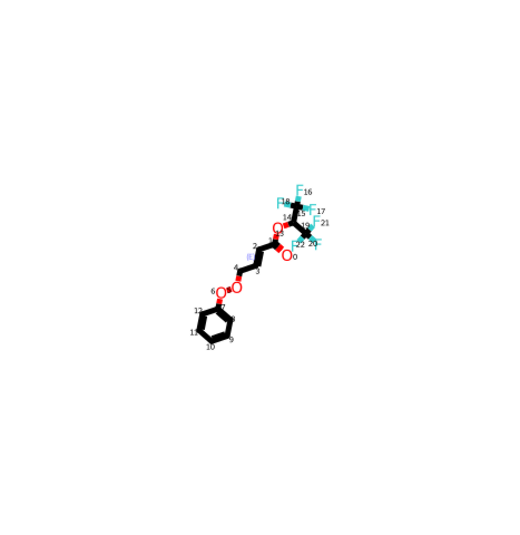 O=C(/C=C/COOc1ccccc1)OC(C(F)(F)F)C(F)(F)F